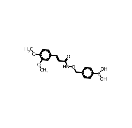 COc1ccc(C=CC(=O)NOCc2ccc(B(O)O)cc2)cc1OC